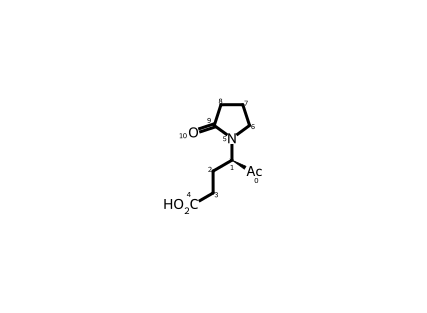 CC(=O)[C@@H](CCC(=O)O)N1CCCC1=O